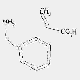 C=CC(=O)O.NCc1ccccc1